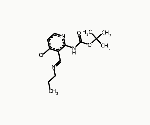 CCC/N=C/c1c(Cl)ccnc1NC(=O)OC(C)(C)C